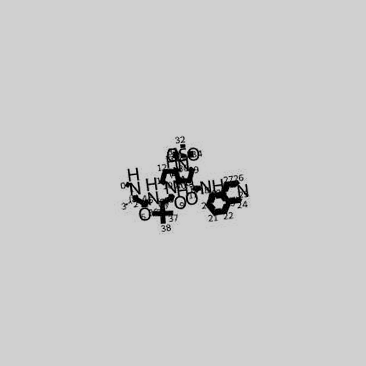 CN[C@@H](C)C(=O)N[C@H](C(=O)N1CC[C@@H]2[C@H]1[C@@H](C(=O)Nc1cccc3cnccc13)CN2S(C)(=O)=O)C(C)(C)C